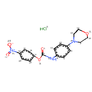 Cl.O=C(Nc1ccc(N2CCOCC2)cc1)Oc1ccc([N+](=O)[O-])cc1